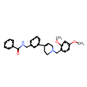 COc1ccc(CN2CC=C(c3cccc(CNC(=O)c4ccccc4)c3)CC2)c(OC)c1